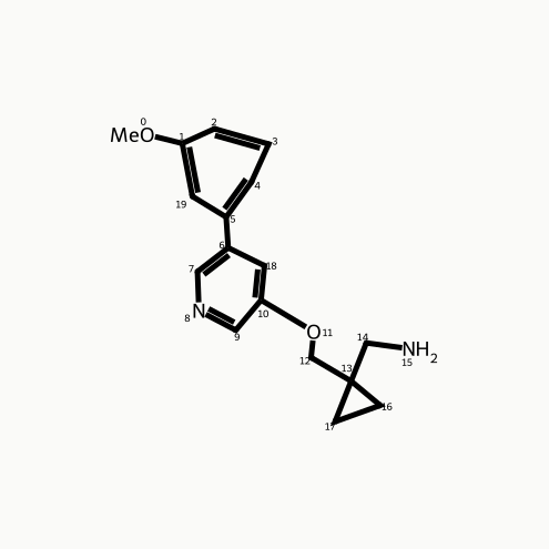 COc1cccc(-c2cncc(OCC3(CN)CC3)c2)c1